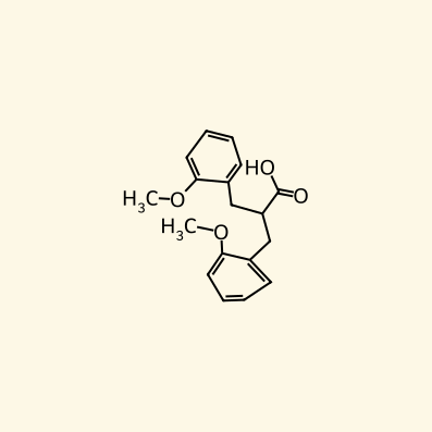 COc1ccccc1CC(Cc1ccccc1OC)C(=O)O